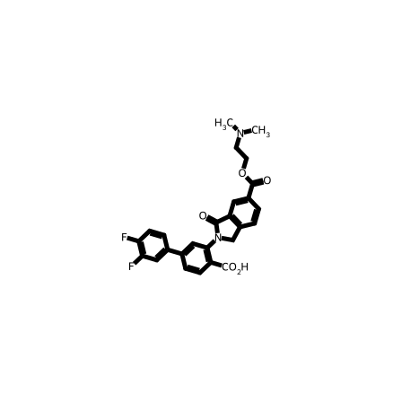 CN(C)CCOC(=O)c1ccc2c(c1)C(=O)N(c1cc(-c3ccc(F)c(F)c3)ccc1C(=O)O)C2